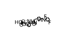 Nc1c(-c2cc(Cc3ccc(CNc4cc(F)ccc4F)cc3)no2)ccc[n+]1COP(=O)([O-])O